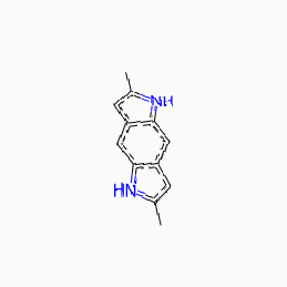 Cc1cc2cc3[nH]c(C)cc3cc2[nH]1